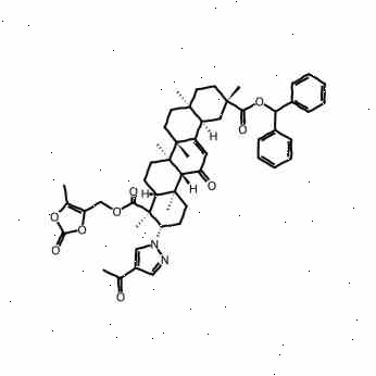 CC(=O)c1cnn([C@H]2CC[C@@]3(C)[C@@H](CC[C@]4(C)[C@@H]3C(=O)C=C3[C@@H]5C[C@@](C)(C(=O)OC(c6ccccc6)c6ccccc6)CC[C@]5(C)CC[C@]34C)[C@]2(C)C(=O)OCc2oc(=O)oc2C)c1